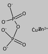 O=P([O-])([O-])OP(=O)([O-])[O-].[Cu+2].[Zn+2]